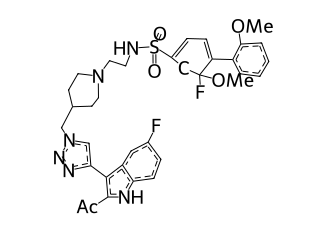 COc1ccccc1C1=CC=C(S(=O)(=O)NCCN2CCC(Cn3cc(-c4c(C(C)=O)[nH]c5ccc(F)cc45)nn3)CC2)CC1(F)OC